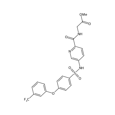 COC(=O)CNC(=O)c1ccc(NS(=O)(=O)c2ccc(Oc3cccc(C(F)(F)F)c3)cc2)cn1